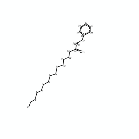 CCCCCCCCCCCCCCC(=O)NCc1ccccc1